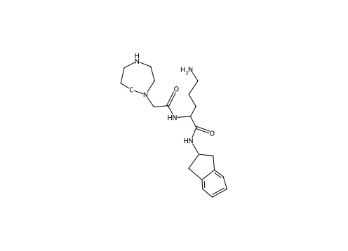 NCCCC(NC(=O)CN1CCCNCC1)C(=O)NC1Cc2ccccc2C1